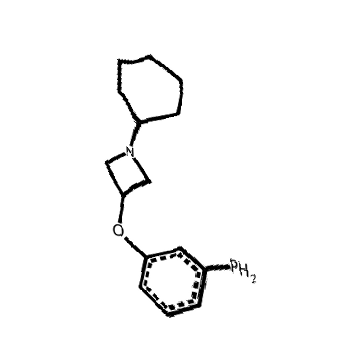 Pc1cccc(OC2CN(C3CCCCC3)C2)c1